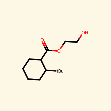 CC(C)(C)C1CCCCC1C(=O)OCCO